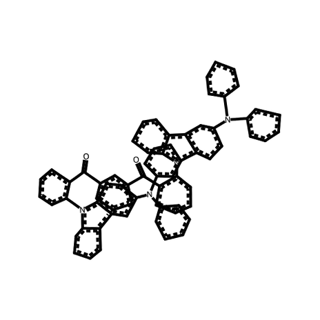 O=C(c1cccc(C(=O)c2ccccc2-n2c3ccccc3c3cc(N(c4ccccc4)c4ccccc4)ccc32)c1)c1ccccc1-n1c2ccccc2c2cc(N(c3ccccc3)c3ccccc3)ccc21